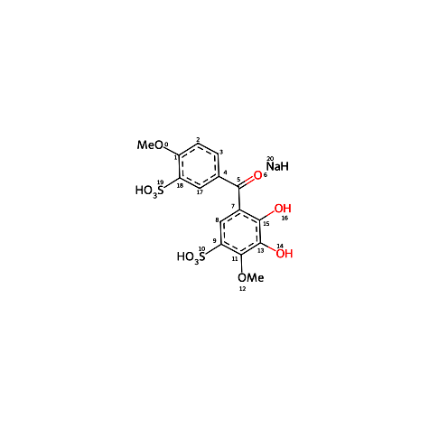 COc1ccc(C(=O)c2cc(S(=O)(=O)O)c(OC)c(O)c2O)cc1S(=O)(=O)O.[NaH]